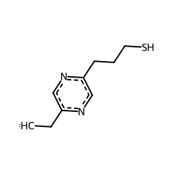 [CH]Cc1cnc(CCCS)cn1